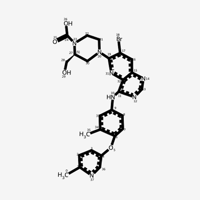 Cc1ccc(Oc2ccc(Nc3ncnc4cc(Br)c(N5CCN(C(=O)O)[C@H](CO)C5)nc34)cc2C)cn1